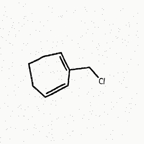 ClCC1=CCCCC=C1